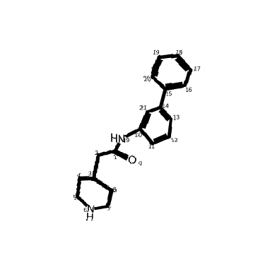 O=C(CC1CCNCC1)Nc1cccc(-c2ccccc2)c1